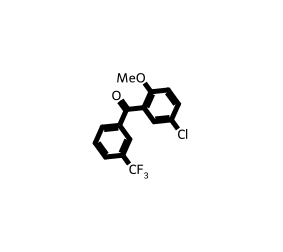 COc1ccc(Cl)cc1C(=O)c1cccc(C(F)(F)F)c1